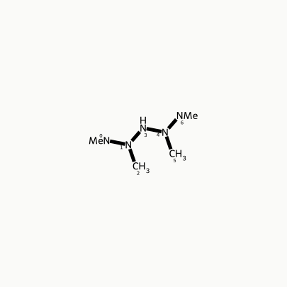 CNN(C)NN(C)NC